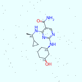 C[C@@H](Nc1nc(N[C@@H]2CCC[C@H](O)C2)ncc1C(N)=O)C1CC1